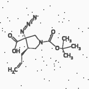 C=CC[C@@H]1CN(C(=O)OC(C)(C)C)C[C@]1(N=[N+]=[N-])C(=O)O